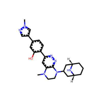 CN1CCN(C2C[C@H]3CCC[C@@H](C2)N3)c2nnc(-c3ccc(-c4cnn(C)c4)cc3O)cc21